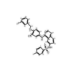 Cc1ccc(S(=O)(=O)Nc2ccc3ncnc(Nc4ccc(OCc5cccc(F)c5)c(Cl)c4)c3c2)cc1